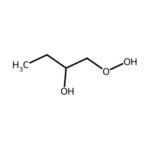 CCC(O)COO